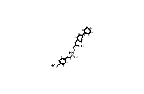 CC(=O)N(CCc1ccc(C(=O)O)cc1)NCCC(O)Cc1ccc(-c2ccccc2)cc1